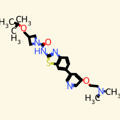 CN(C)CCOc1cncc(-c2ccc3nc(NC(=O)N4CC(COC(C)(C)C)C4)sc3c2)c1